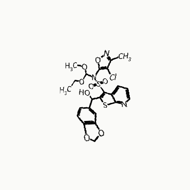 CCOC(OC)N(c1onc(C)c1Cl)S(=O)(=O)c1c(C(O)c2ccc3c(c2)OCO3)sc2ncccc12